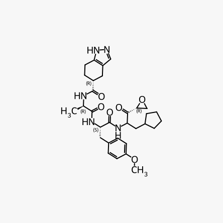 COc1ccc(C[C@H](NC(=O)[C@@H](C)NC(=O)[C@@H]2CCc3[nH]ncc3C2)C(=O)NC(CC2CCCC2)C(=O)[C@H]2CO2)cc1